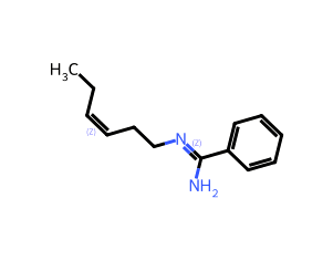 CC/C=C\CC/N=C(\N)c1ccccc1